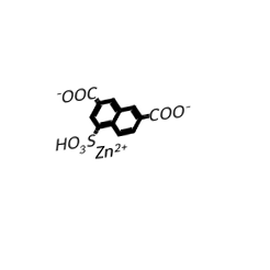 O=C([O-])c1ccc2c(S(=O)(=O)O)cc(C(=O)[O-])cc2c1.[Zn+2]